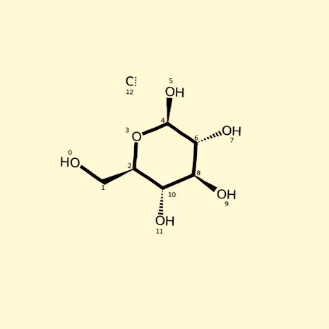 OC[C@H]1O[C@@H](O)[C@H](O)[C@@H](O)[C@@H]1O.[C]